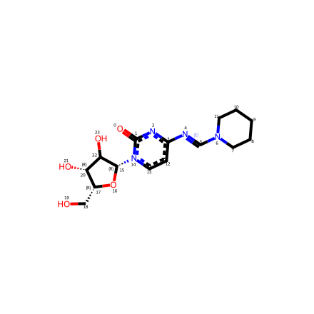 O=c1nc(/N=C/N2CCCCC2)ccn1[C@@H]1O[C@H](CO)[C@H](O)C1O